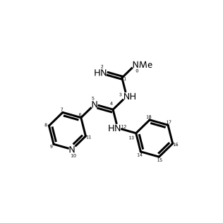 CNC(=N)NC(=Nc1cccnc1)Nc1ccccc1